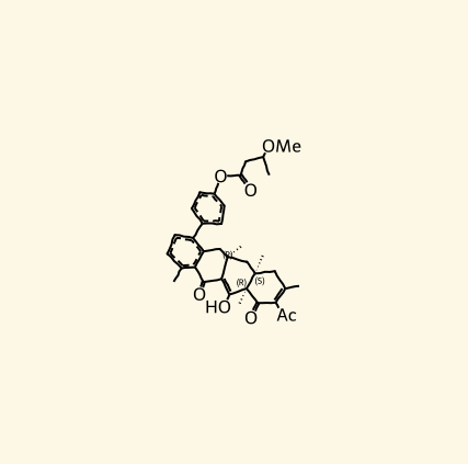 COC(C)CC(=O)Oc1ccc(-c2ccc(C)c3c2C[C@@]2(C)C[C@@]4(C)CC(C)=C(C(C)=O)C(=O)[C@@]4(C)C(O)=C2C3=O)cc1